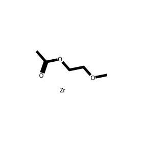 COCCOC(C)=O.[Zr]